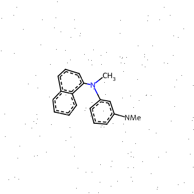 CNc1cccc(N(C)c2cccc3ccccc23)c1